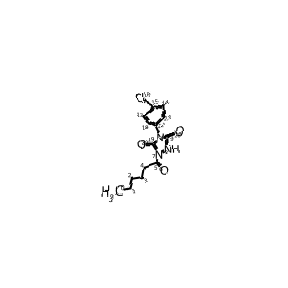 CCCCCC(=O)n1[nH]c(=O)n(-c2ccc(Cl)cc2)c1=O